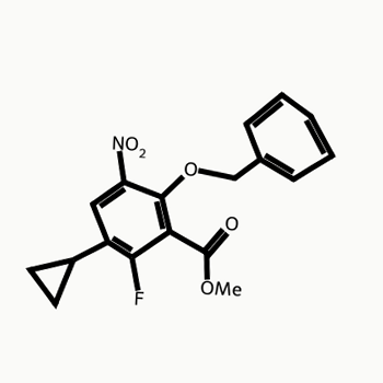 COC(=O)c1c(F)c(C2CC2)cc([N+](=O)[O-])c1OCc1ccccc1